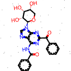 O=C(Nc1nc(C(=O)c2ccccc2)nc2c1ncn2[C@@H]1OC[C@@H](O)[C@@H](O)[C@H]1O)c1ccccc1